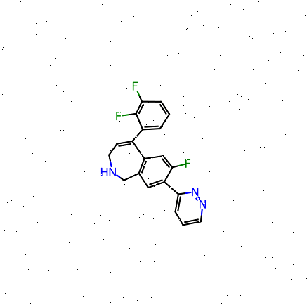 Fc1cc2c(cc1-c1cccnn1)CNCC=C2c1cccc(F)c1F